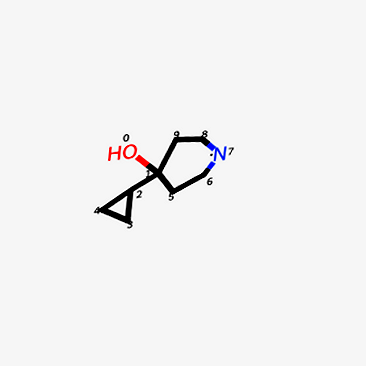 OC1(C2CC2)CC[N]CC1